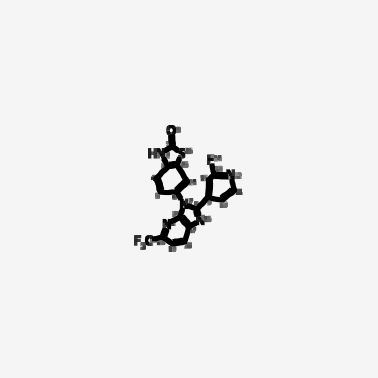 O=c1[nH]c2ccc(-n3c(-c4ccnc(F)c4)nc4ccc(C(F)(F)F)nc43)cc2s1